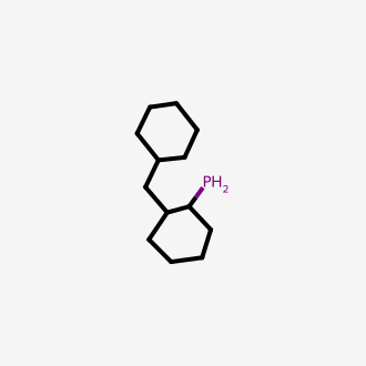 PC1CCCCC1CC1CCCCC1